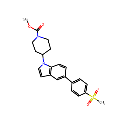 CC(C)(C)OC(=O)N1CCC(n2ccc3cc(-c4ccc(S(C)(=O)=O)cc4)ccc32)CC1